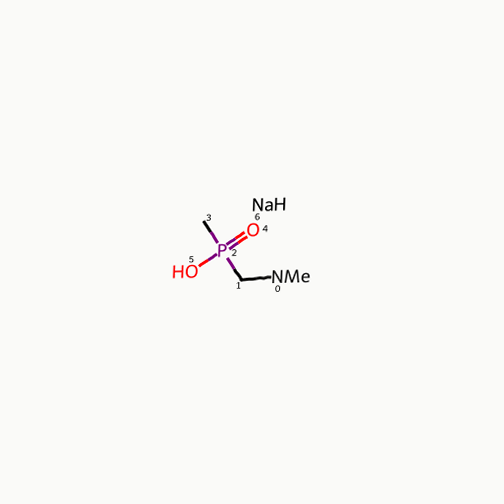 CNCP(C)(=O)O.[NaH]